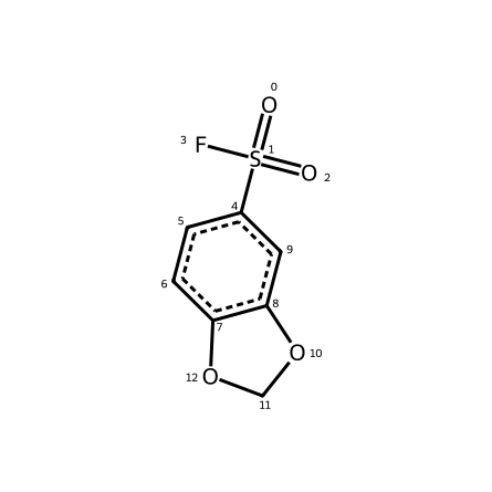 O=S(=O)(F)c1ccc2c(c1)OCO2